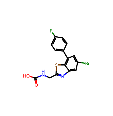 O=C(O)NCc1nc2cc(Br)cc(-c3ccc(F)cc3)c2s1